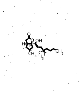 CCCC[C@](C)(F)CC=C(O)[C@@]12C[C@@H](C)C[C@H]1CC(=O)O2